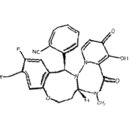 CN1C(=O)c2c(O)c(=O)ccn2N2[C@H](c3ccccc3C#N)c3cc(F)c(F)cc3OCC[C@@H]12